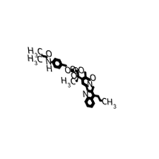 CCCc1c2c(nc3ccccc13)-c1cc3c(c(=O)n1C2)COC(=O)[C@@]3(CC)OC(=O)OCc1ccc(NC(=O)C(C)C)cc1